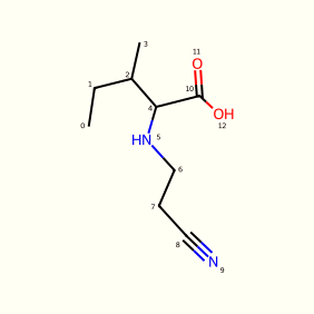 CCC(C)C(NCCC#N)C(=O)O